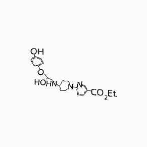 CCOC(=O)c1ccc(N2CCC(NCC(O)COc3ccc(O)cc3)CC2)nc1